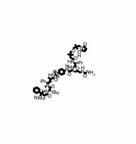 CN[C@H](C(=O)N[C@H](C(=O)N(C)[C@H](/C=C(\C)C(=O)NS(=O)(=O)c1ccc(NC(=O)[C@H](CCCNC(N)=O)NC(=O)[C@@H](NC(=O)CC(C)(C)COCC(C)(C)CN2C(=O)C=CC2O)C(C)C)cc1)C(C)C)C(C)(C)C)C(C)(C)c1ccccc1